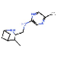 CC1C2CC(C2)NC1CNc1cnc(C(F)(F)F)cn1